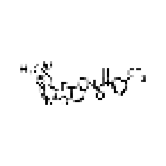 CS(=O)(=O)Cc1cc(Oc2ccc3c(ccn3C(=O)Nc3cccc(C(F)(F)F)c3)c2F)ncn1